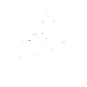 C=C/N=C(\NC(C/N=C\C(=C)C(F)(F)F)[C@@H](C)NC(=O)[C@@H]1C[C@@H](F)[C@H](C)N1)C(F)(F)F